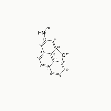 CNc1cc2ccc3cccc4oc(c1)c2c34